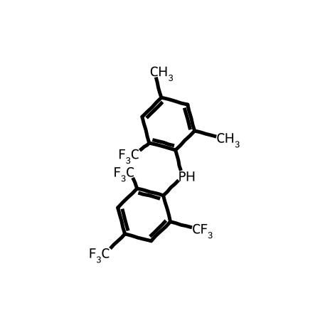 Cc1cc(C)c(Pc2c(C(F)(F)F)cc(C(F)(F)F)cc2C(F)(F)F)c(C(F)(F)F)c1